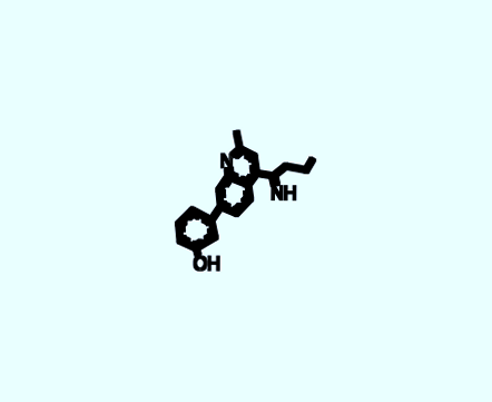 CCCC(=N)c1cc(C)nc2cc(-c3cccc(O)c3)ccc12